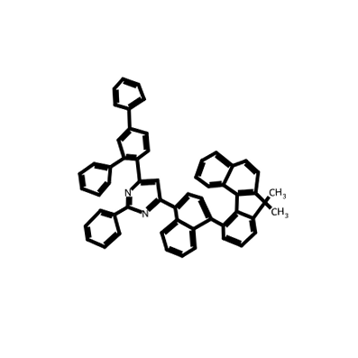 CC1(C)c2cccc(-c3ccc(-c4cc(-c5ccc(-c6ccccc6)cc5-c5ccccc5)nc(-c5ccccc5)n4)c4ccccc34)c2-c2c1ccc1ccccc21